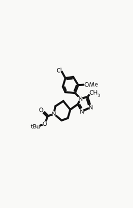 COc1cc(Cl)ccc1-n1c(C)nnc1C1CCN(C(=O)OC(C)(C)C)CC1